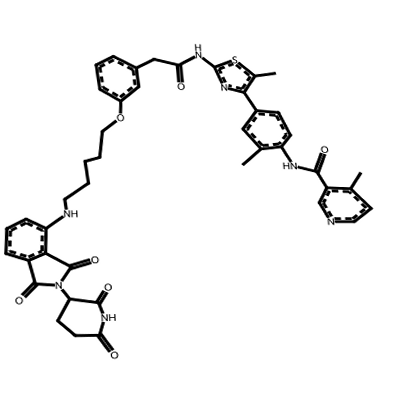 Cc1cc(-c2nc(NC(=O)Cc3cccc(OCCCCCNc4cccc5c4C(=O)N(C4CCC(=O)NC4=O)C5=O)c3)sc2C)ccc1NC(=O)c1cnccc1C